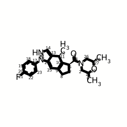 CC1CN(C(=O)[C@H]2CCC3=C2[C@@H](C)C2=CNN(c4ccc(F)cc4)C2=C3)C[C@@H](C)O1